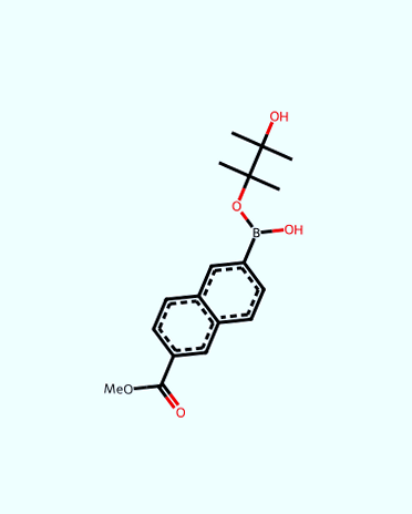 COC(=O)c1ccc2cc(B(O)OC(C)(C)C(C)(C)O)ccc2c1